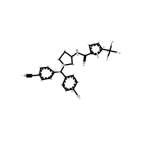 N#Cc1ccc([C@H](c2ccc(Cl)cc2)N2CCC(NC(=O)c3ccc(C(F)(F)F)s3)C2)cc1